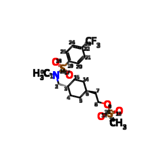 CN(C[C@H]1CC[C@H](CCOS(C)(=O)=O)CC1)S(=O)(=O)c1ccc(C(F)(F)F)cc1